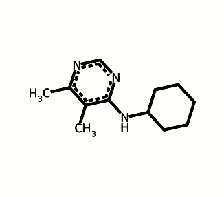 Cc1ncnc(NC2CCCCC2)c1C